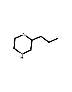 CCCC1CNCC[N]1